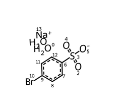 O.O.O=S(=O)([O-])c1ccc(Br)cc1.[Na+]